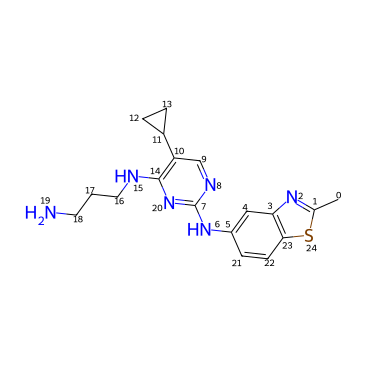 Cc1nc2cc(Nc3ncc(C4CC4)c(NCCCN)n3)ccc2s1